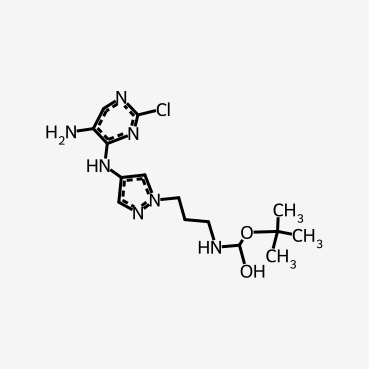 CC(C)(C)OC(O)NCCCn1cc(Nc2nc(Cl)ncc2N)cn1